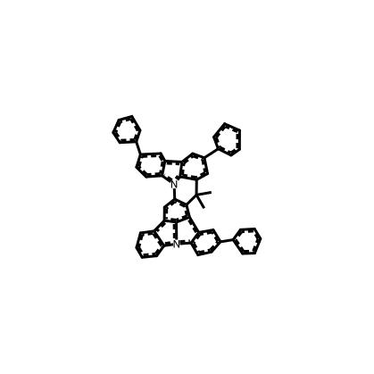 CC1(C)c2c(cc3c4ccccc4n4c5ccc(-c6ccccc6)cc5c2c34)-n2c3ccc(-c4ccccc4)cc3c3cc(-c4ccccc4)cc1c32